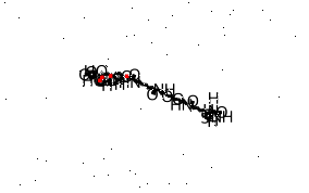 C[C@]12[C@H](O)CC3[C@@H](CC[C@@H]4C[C@@H](OCC(=O)NCCCCCC(=O)NCCOCCOCCNC(=O)CCCC[C@@H]5SC[C@@H]6NC(=O)N[C@@H]65)CC[C@]34C)[C@@]1(O)CC[C@@H]2C1=CC(=O)OC1